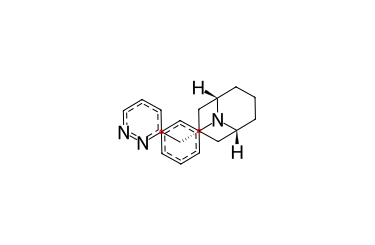 c1ccc(N2[C@@H]3CCC[C@H]2C[C@@H](Cc2cccnn2)C3)cc1